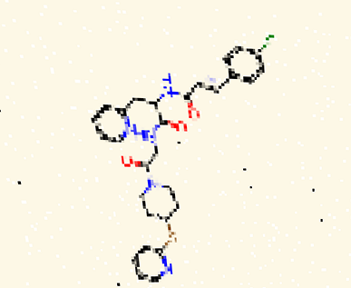 O=C(/C=C/c1ccc(Cl)cc1)NC(Cc1ccccn1)C(=O)NCC(=O)N1CCC(Sc2ccccn2)CC1